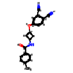 Cc1ccc(C(=O)N[C@H]2C[C@H](Oc3ccc(C#N)c(C#N)c3)C2)cc1